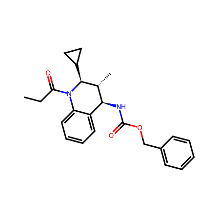 CCC(=O)N1c2ccccc2[C@H](NC(=O)OCc2ccccc2)[C@@H](C)[C@@H]1C1CC1